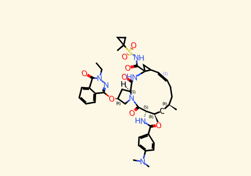 CCn1nc(O[C@@H]2C[C@H]3C(=O)NC4(C(=O)NS(=O)(=O)C5(C)CC5)CC4/C=C\CC[C@@H](C)C[C@@H](C)[C@H](NC(=O)c4ccc(N(C)C)cc4)C(=O)N3C2)c2ccccc2c1=O